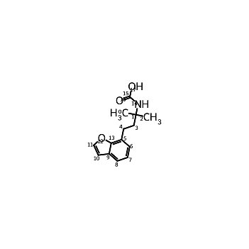 CC(C)(CCc1cccc2ccoc12)NC(=O)O